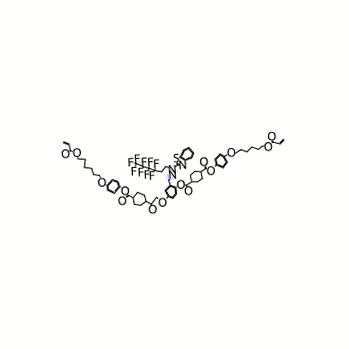 C=CC(=O)OCCCCCCOc1ccc(OC(=O)C2CCC(C(=O)COc3ccc(OC(=O)C4CCC(C(=O)Oc5ccc(OCCCCCCOC(=O)C=C)cc5)CC4)c(/C=N/N(CCC(F)(F)C(F)(F)C(F)(F)C(F)(F)F)c4nc5ccccc5s4)c3)CC2)cc1